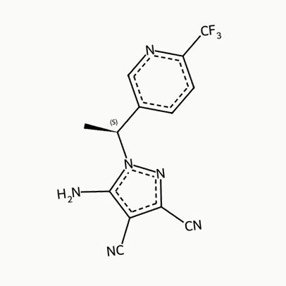 C[C@@H](c1ccc(C(F)(F)F)nc1)n1nc(C#N)c(C#N)c1N